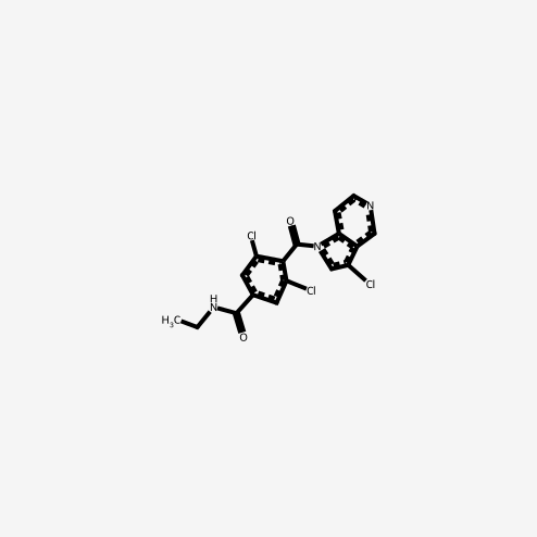 CCNC(=O)c1cc(Cl)c(C(=O)n2cc(Cl)c3cnccc32)c(Cl)c1